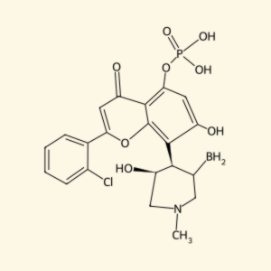 BC1CN(C)C[C@@H](O)[C@H]1c1c(O)cc(OP(=O)(O)O)c2c(=O)cc(-c3ccccc3Cl)oc12